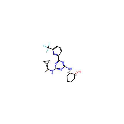 CC(Nc1nc(N[C@H]2CCCC[C@@H]2O)nc(-c2cccc(C(F)(F)F)n2)n1)=C1CC1